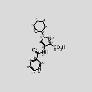 O=C(Nc1cn(C2CCCCO2)nc1C(=O)O)c1cccnc1